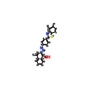 Cc1ccc2sc(-c3ccc(/N=N/c4cc(C)c5ccccc5c4O)cc3)nc2c1C